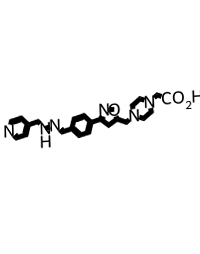 O=C(O)CN1CCN(CC2CC(c3ccc(C=NNCc4ccncc4)cc3)=NO2)CC1